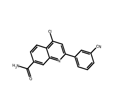 N#Cc1cccc(-c2cc(Cl)c3ccc(C(N)=O)cc3n2)c1